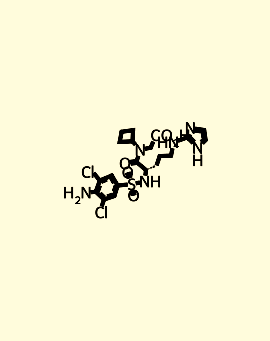 Nc1c(Cl)cc(S(=O)(=O)N[C@@H](CCCNc2ncc[nH]2)C(=O)N(CC(=O)O)C2CCC2)cc1Cl